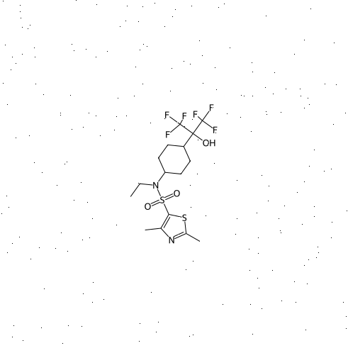 CCN(C1CCC(C(O)(C(F)(F)F)C(F)(F)F)CC1)S(=O)(=O)c1sc(C)nc1C